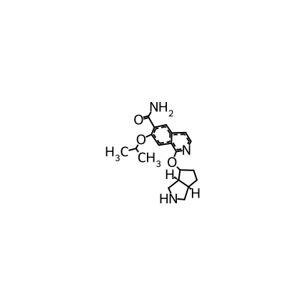 CC(C)Oc1cc2c(OC3CC[C@@H]4CNC[C@H]34)nccc2cc1C(N)=O